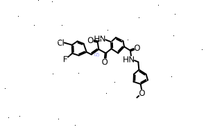 COc1ccc(CNC(=O)c2ccc3c(c2)C(=O)/C(=C/c2ccc(Cl)c(F)c2)C(=O)N3)cc1